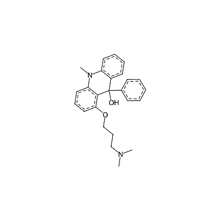 CN(C)CCCOc1cccc2c1C(O)(c1ccccc1)c1ccccc1N2C